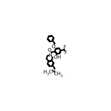 CN(C)Cc1ccc2c(c1)CN(C(=O)c1c(O)cc(C(F)F)cc1OCc1ccccc1)CC2